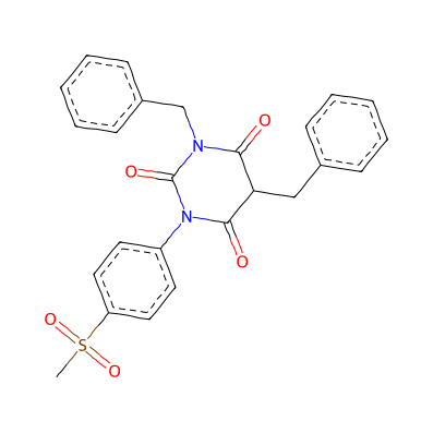 CS(=O)(=O)c1ccc(N2C(=O)C(Cc3ccccc3)C(=O)N(Cc3ccccc3)C2=O)cc1